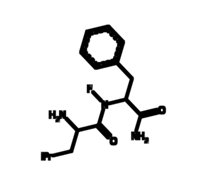 CC(C)CC(N)C(=O)N(F)C(Cc1ccccc1)C(N)=O